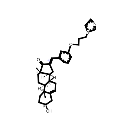 C[C@]12CC[C@H](O)CC1=CC[C@@H]1[C@@H]2CC[C@]2(C)C(=O)/C(=C/c3cccc(OCCCn4ccnc4)c3)C[C@@H]12